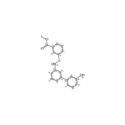 COC(=O)c1cccc(CNc2cncc(-c3cccc(O)c3)c2)c1